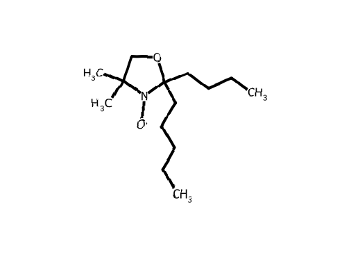 CCCCCC1(CCCC)OCC(C)(C)N1[O]